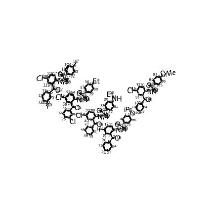 CC(C)Oc1ccc(S(=O)(=O)Nc2ccc(I)cc2C(=O)c2ccccc2)cc1.CCNc1ccc(S(=O)(=O)Nc2ccc(Cl)cc2C(=O)c2ccccc2)cc1.CCc1ccc(S(=O)(=O)Nc2ccc(Cl)cc2C(=O)c2cccc(Cl)c2)cc1.COc1ccc(S(=O)(=O)Nc2ccc(Cl)cc2C(=O)c2ccccc2)cc1.Cc1ccc(S(=O)(=O)Nc2ccc(Cl)cc2C(=O)c2cccc(F)c2)cc1